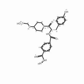 CCCNC(=N)c1ccc(C(=O)N[C@@H](Cc2ccc(O)cc2)C(=O)N2CCC(OCC(=O)O)CC2)cc1